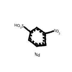 O=[N+]([O-])c1cccc(S(=O)(=O)O)c1.[Nd]